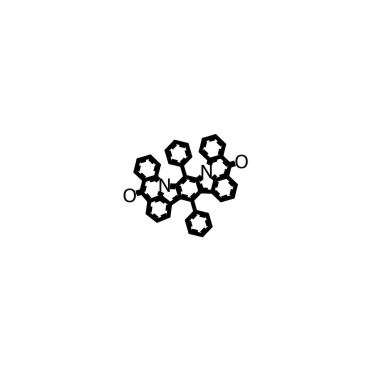 O=c1c2ccccc2n2c3c(-c4ccccc4)c4c(c(-c5ccccc5)c3c3cccc1c32)c1cccc2c(=O)c3ccccc3n4c21